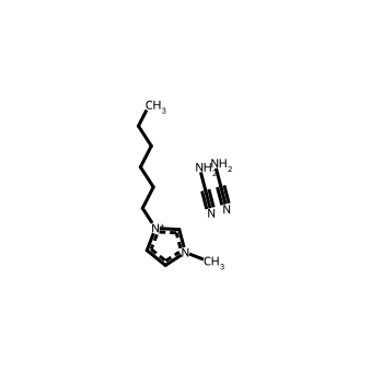 CCCCCC[n+]1ccn(C)c1.N#CN.N#CN